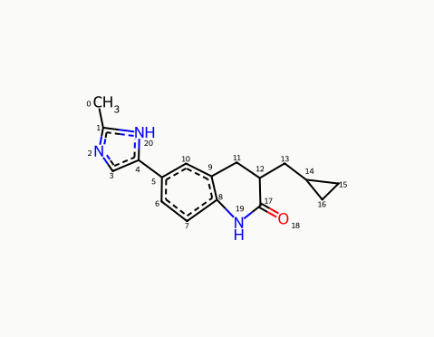 Cc1ncc(-c2ccc3c(c2)CC(CC2CC2)C(=O)N3)[nH]1